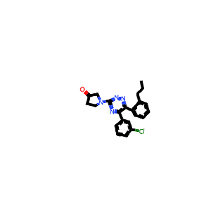 CCCc1ccccc1-c1nnc(N2CCC(=O)C2)nc1-c1cccc(Cl)c1